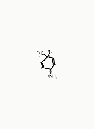 NC1C=CC(Cl)(C(F)(F)F)C=C1